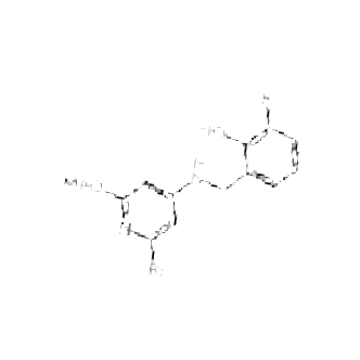 COc1cc(NCc2cccc(F)c2O)cc(Br)n1